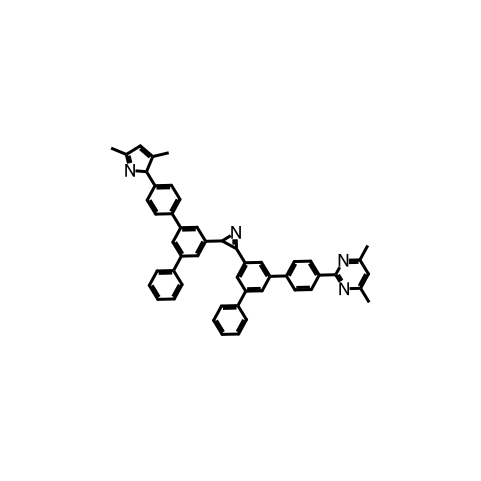 CC1=CC(C)=NC1c1ccc(-c2cc(-c3ccccc3)cc(C3N=C3c3cc(-c4ccccc4)cc(-c4ccc(-c5nc(C)cc(C)n5)cc4)c3)c2)cc1